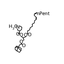 CCCCC/C=C\C/C=C\CCCCCCCC(=O)OCC(COC(=O)CC12CC3CC(CC(C3)C1)C2)COC(=O)C1CCCN(C)C1